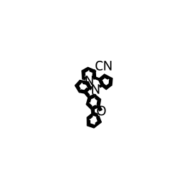 N#Cc1cccnc1-c1ccccc1-n1c2ccccc2c2cc3c(cc21)oc1ccccc13